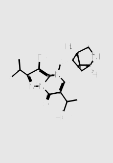 CC(C)c1nn2c(=O)c(C(C)C)cn(C[C@H]3C[C@H]4C[C@@H]3CN4)c2c1F.Cl